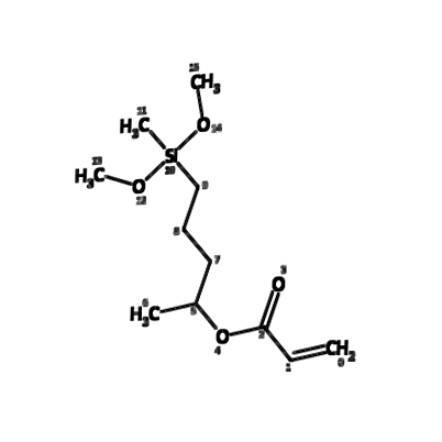 C=CC(=O)OC(C)CCC[Si](C)(OC)OC